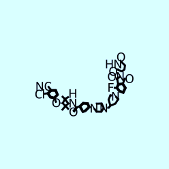 CC1(C)[C@H](NC(=O)c2ccc(N3CCN(CC4CCN(c5ccc6c(c5F)C(=O)N(C5CCC(=O)NC5=O)C6=O)CC4)CC3)cc2)C(C)(C)[C@H]1Oc1ccc(C#N)c(Cl)c1